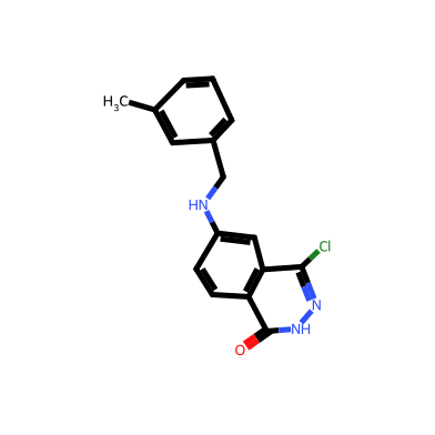 Cc1cccc(CNc2ccc3c(=O)[nH]nc(Cl)c3c2)c1